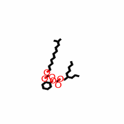 CCCCCC(CCC)COC(=O)OC1CCCCC1OC(=O)OCCCCCCCCCC(C)C